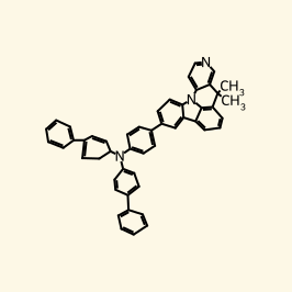 CC1(C)c2cnccc2-n2c3ccc(-c4ccc(N(c5ccc(-c6ccccc6)cc5)C5C=CC(c6ccccc6)=CC5)cc4)cc3c3cccc1c32